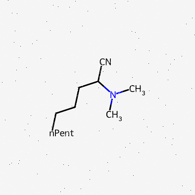 CCCCCCCCC(C#N)N(C)C